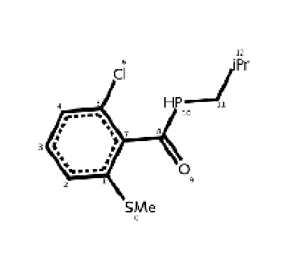 CSc1cccc(Cl)c1C(=O)PCC(C)C